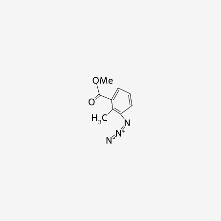 COC(=O)c1cccc(N=[N+]=[N-])c1C